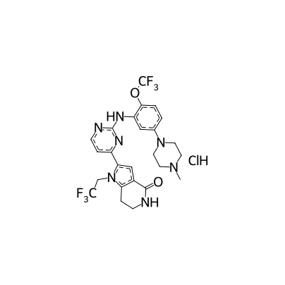 CN1CCN(c2ccc(OC(F)(F)F)c(Nc3nccc(-c4cc5c(n4CC(F)(F)F)CCNC5=O)n3)c2)CC1.Cl